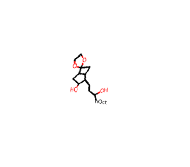 CCCCCCCCC(O)CCC1C(O)CC2C1CC21OCCO1